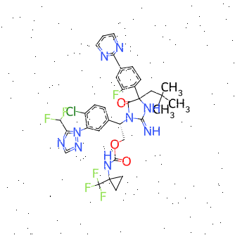 CC(C)(C)CC1(c2ccc(-c3ncccn3)cc2F)NC(=N)N([C@H](COC(=O)NC2(C(F)(F)F)CC2)c2ccc(Cl)c(-n3ncnc3C(F)F)c2)C1=O